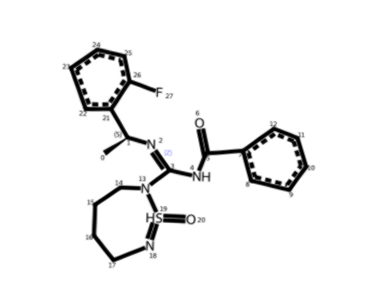 C[C@H](/N=C(/NC(=O)c1ccccc1)N1CCCCN=[SH]1=O)c1ccccc1F